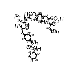 CC(C)CC(NC(=O)Cc1ccc(NC(=O)Nc2ccccc2)cc1)C(=O)NC(CN1CCN(CC(NC(=O)CC(C)(C)C)C(=O)O)CC1)C(=O)O